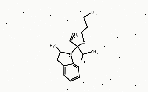 C=CC(OCCCC)(C(C)O)N1c2ccccc2CC1C